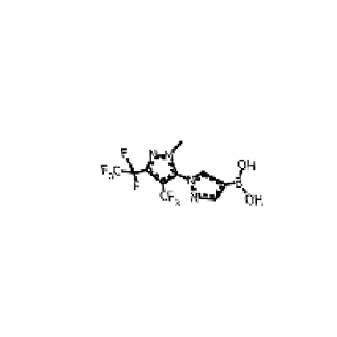 Cn1nc(C(F)(F)C(F)(F)F)c(C(F)(F)F)c1-n1cc(B(O)O)cn1